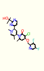 CC1=CN(C)C(c2ccnc(C(C)(C)O)n2)C=C1n1c(C)cc(OCc2ncc(F)cc2F)c(Cl)c1=O